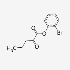 CCCC(=O)C(=O)Oc1ccccc1Br